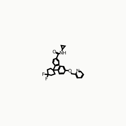 O=C(NC1CC1)c1ccc(C2(c3ccc(OCc4ccccn4)cc3)CCC(F)(F)CC2)cc1